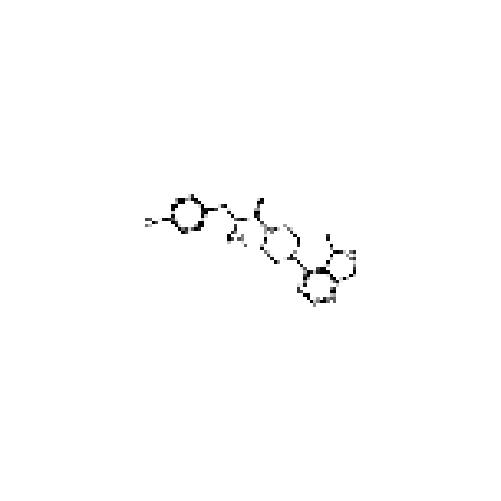 C=C([C@@H](N)Cc1ccc(Cl)cc1)N1CCN(c2ncnc3c2C(C)OC3)CC1